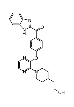 O=C(c1ccc(Oc2nccnc2N2CCC(CCO)CC2)cc1)c1nc2ccccc2[nH]1